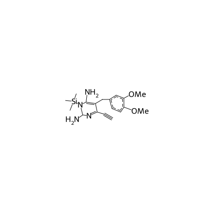 C#CC1=NC(N)N([Si](C)(C)C)C(N)=C1Cc1ccc(OC)c(OC)c1